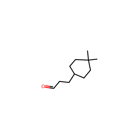 CC1(C)CCC(CCC=O)CC1